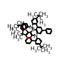 CC(C)(C)c1ccc(N2B3c4c(cc(-c5ccccc5)cc4N(c4ccc(C(C)(C)C)cc4-c4ccccc4)c4ccc5c(c43)-c3ccccc3C5(C)C)-c3cc(C(C)(C)C)ccc32)cc1